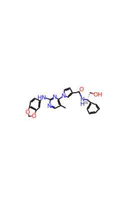 Cc1cnc(Nc2ccc3c(c2)OCO3)nc1-n1ccc(C(=O)N[C@H](CO)c2ccccc2)c1